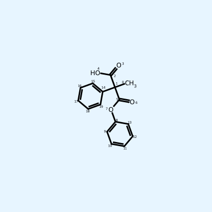 CC(C(=O)O)(C(=O)Oc1ccccc1)c1ccccc1